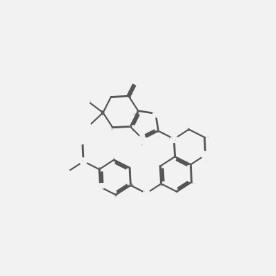 CN(C)c1ccc(Nc2ccc3c(c2)N(c2nc4c(s2)C(=O)CC(C)(C)C4)CCO3)cn1